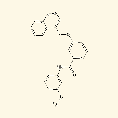 O=C(Nc1cccc(OC(F)(F)F)c1)c1cccc(OCc2cncc3ccccc23)c1